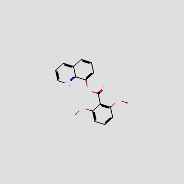 COc1cccc(OC)c1C(=O)Oc1cccc2cccnc12